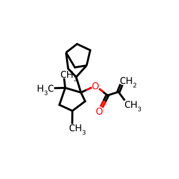 C=C(C)C(=O)OC1(C2CC3CCC2C3)CC(C)CC1(C)C